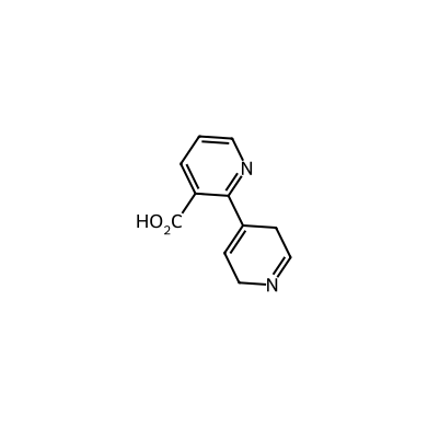 O=C(O)c1cccnc1C1=CCN=CC1